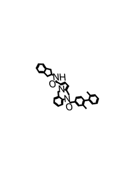 Cc1ccccc1-c1ccc(C(=O)N2Cc3ccc(C(=O)NC4Cc5ccccc5C4)n3Cc3ccccc32)cc1C